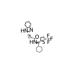 O=C(N[C@@H](c1ccc(C(F)(F)F)s1)C1CCCCC1)C1C[C@@H]1c1nc2ccccc2[nH]1